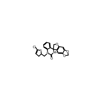 O=C1NC2(COc3cc4c(cc32)OCO4)c2ccccc2N1CC1CC=C(Cl)S1